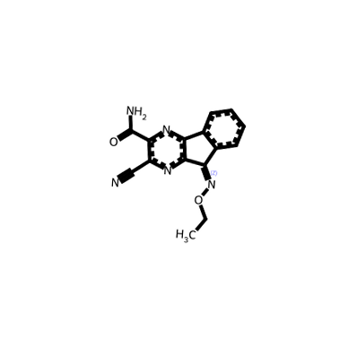 CCO/N=C1/c2ccccc2-c2nc(C(N)=O)c(C#N)nc21